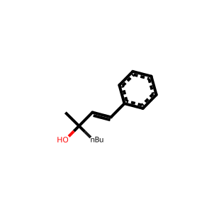 CCCCC(C)(O)C=Cc1ccccc1